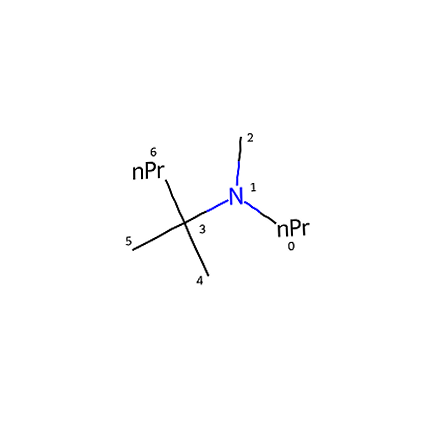 CCCN(C)C(C)(C)CCC